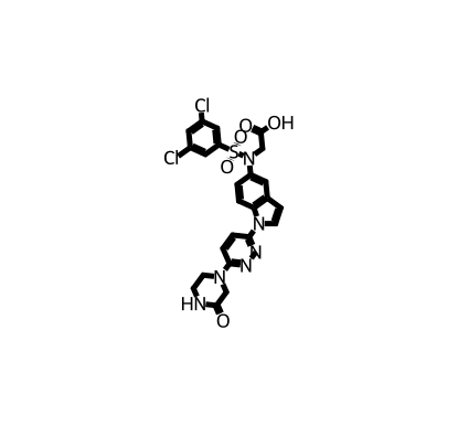 O=C(O)CN(c1ccc2c(ccn2-c2ccc(N3CCNC(=O)C3)nn2)c1)S(=O)(=O)c1cc(Cl)cc(Cl)c1